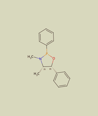 C[C@H]1[C@@H](c2ccccc2)OP(c2ccccc2)N1C